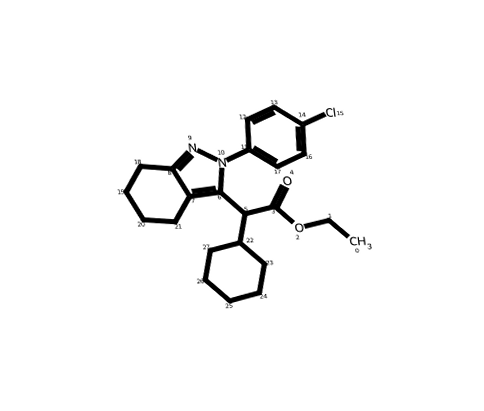 CCOC(=O)C(c1c2c(nn1-c1ccc(Cl)cc1)CCCC2)C1CCCCC1